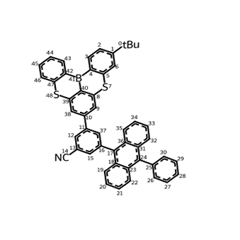 CC(C)(C)c1ccc2c(c1)Sc1cc(-c3cc(C#N)cc(-c4c5ccccc5c(-c5ccccc5)c5ccccc45)c3)cc3c1B2c1ccccc1S3